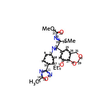 CCOc1cc(C(=N\c2ccc(-c3noc(C)n3)cc2)/C(=N/C(=O)OC)SC)cc2c1OCOC2